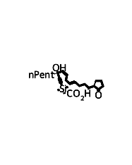 CCCCC[C@@](O)(C#C[Si](C)(C)C)/C=C\C/C=C/CC[C@H](C(=O)O)[C@H]1CCCC1=O